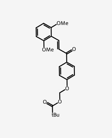 COc1cccc(OC)c1/C=C/C(=O)c1ccc(OCOC(=O)C(C)(C)C)cc1